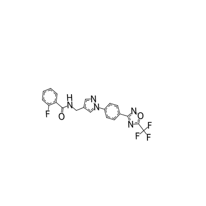 O=C(NCc1cnn(-c2ccc(-c3noc(C(F)(F)F)n3)cc2)c1)c1ccccc1F